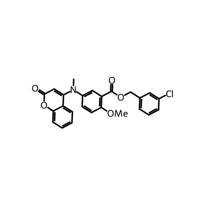 COc1ccc(N(C)c2cc(=O)oc3ccccc23)cc1C(=O)OCc1cccc(Cl)c1